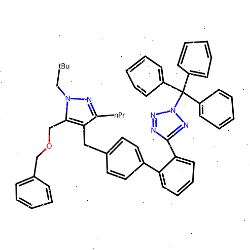 CCCc1nn(CC(C)(C)C)c(COCc2ccccc2)c1Cc1ccc(-c2ccccc2-c2nnn(C(c3ccccc3)(c3ccccc3)c3ccccc3)n2)cc1